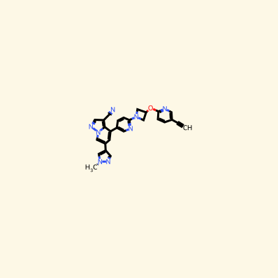 C#Cc1ccc(OC2CN(c3ccc(-c4cc(-c5cnn(C)c5)cn5ncc(C#N)c45)cn3)C2)nc1